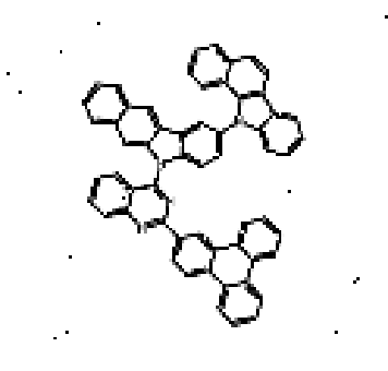 c1ccc2cc3c(cc2c1)c1cc(-n2c4ccccc4c4ccc5ccccc5c42)ccc1n3-c1nc(-c2ccc3c4ccccc4c4ccccc4c3c2)nc2ccccc12